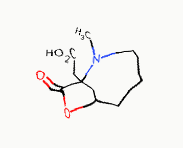 CN1CCCC2OC(=O)C21C(=O)O